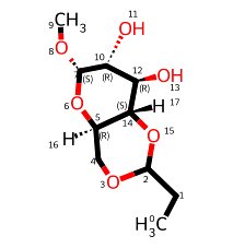 CCC1OC[C@H]2O[C@H](OC)[C@H](O)[C@@H](O)[C@@H]2O1